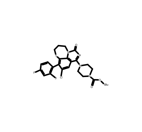 CC(C)(C)OC(=O)N1CCN(c2nc(=O)n3c4c(c(-c5ccc(F)cc5F)c(Cl)cc24)SCCC3)CC1